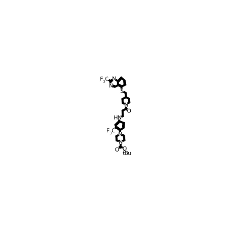 CC(C)(C)OC(=O)N1CCN(c2ccc(NCCC(=O)N3CCC(CSc4cccc5nc(C(F)(F)F)ncc45)CC3)cc2C(F)(F)F)CC1